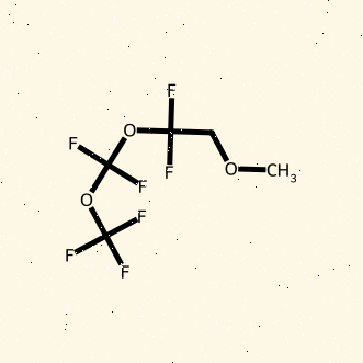 COCC(F)(F)OC(F)(F)OC(F)(F)F